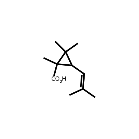 CC(C)=CC1C(C)(C)C1(C)C(=O)O